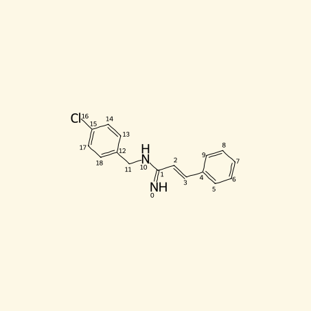 N=C(/C=C/c1ccccc1)NCc1ccc(Cl)cc1